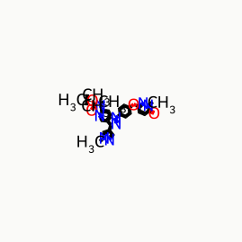 CN(C(=O)OC(C)(C)C)c1cc2c(cn1)c(-c1cnn(C)c1)nn2C1CCC(Oc2ccc(=O)n(C)n2)CC1